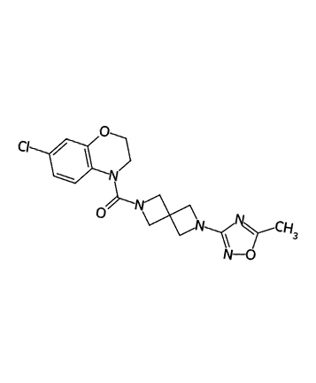 Cc1nc(N2CC3(CN(C(=O)N4CCOc5cc(Cl)ccc54)C3)C2)no1